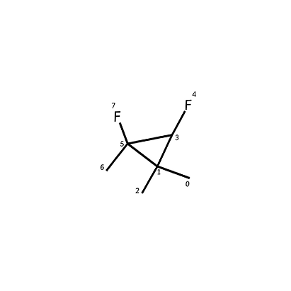 CC1(C)C(F)C1(C)F